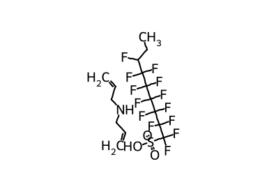 C=CCNCC=C.CCC(F)C(F)(F)C(F)(F)C(F)(F)C(F)(F)C(F)(F)C(F)(F)S(=O)(=O)O